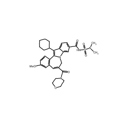 COc1ccc2c(c1)C=C(C(=O)N1CCOCC1)Cn1c-2c(C2CCCCC2)c2ccc(C(=O)NS(=O)(=O)N(C)C)cc21